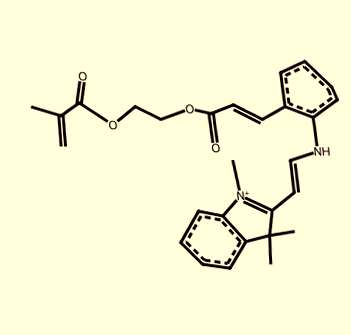 C=C(C)C(=O)OCCOC(=O)/C=C/c1ccccc1N/C=C/C1=[N+](C)c2ccccc2C1(C)C